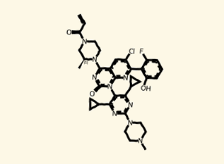 C=CC(=O)N1CCN(c2nc(=O)n(-c3c(C4CC4)nc(N4CCN(C)CC4)nc3C3CC3)c3nc(-c4c(O)cccc4F)c(Cl)cc23)[C@@H](C)C1